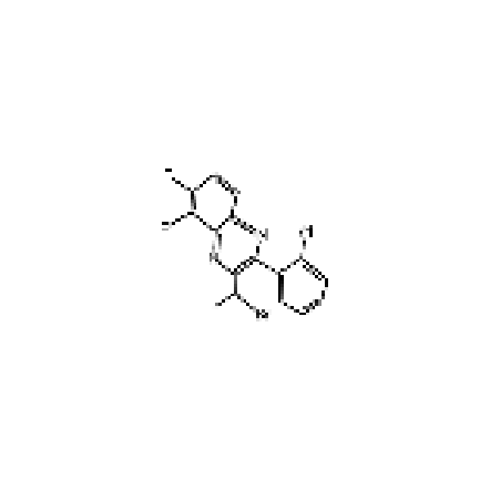 CC(Br)c1nc2c(F)c(F)ccc2nc1-c1ccccc1Cl